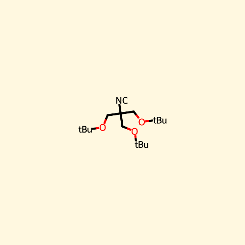 [C-]#[N+]C(COC(C)(C)C)(COC(C)(C)C)COC(C)(C)C